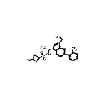 CC(C)(C)Cn1cc([C@H](NS(=O)(=O)C2CC(F)C2)C(F)(F)F)c2ccc(-c3ccccc3C(F)(F)F)cc21